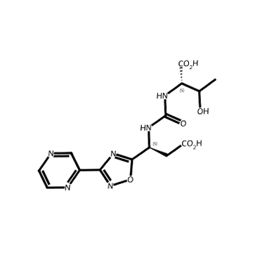 CC(O)[C@H](NC(=O)N[C@@H](CC(=O)O)c1nc(-c2cnccn2)no1)C(=O)O